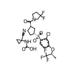 C[C@H](Oc1ccc(S(=O)(=O)[C@@H]2CC[C@@H](C(=O)N3CCC(F)(F)C3)C2)c(Cl)c1)C(F)(F)F.N#CC1(NC(=O)O)CC1